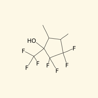 CC1C(C)C(O)(C(F)(F)F)C(F)(F)C1(F)F